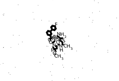 COC[C@@]1(F)C[C@@H](C(=O)N[C@H](C)c2cc(C(=N)N)cs2)N(C(=O)CNC(=O)c2cccc(-c3ccc(F)cc3)c2)C1